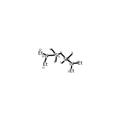 CCN(CC)[Si](C)(C)C[Si](C)(C)N(CC)CC